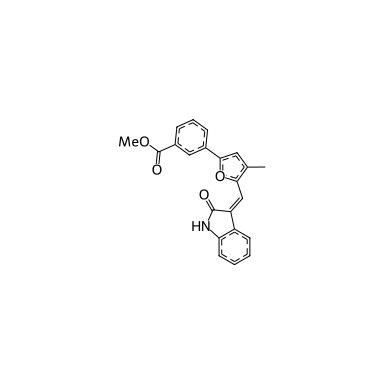 COC(=O)c1cccc(-c2cc(C)c(C=C3C(=O)Nc4ccccc43)o2)c1